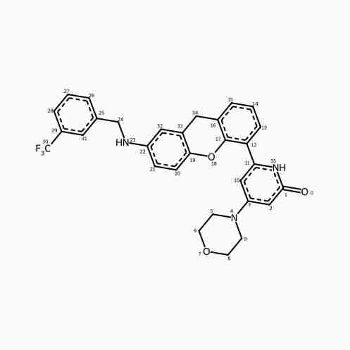 O=c1cc(N2CCOCC2)cc(-c2cccc3c2Oc2ccc(NCc4cccc(C(F)(F)F)c4)cc2C3)[nH]1